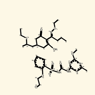 CCCC(=NOCC)C1=C(O)CC(CC(C)SCC)CC1=O.COc1nc(C)nc(NC(=O)NS(=O)(=O)c2ccccc2OCCCl)n1